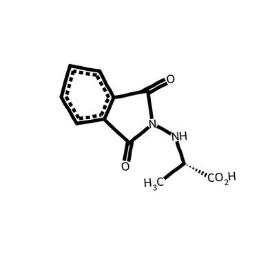 C[C@H](NN1C(=O)c2ccccc2C1=O)C(=O)O